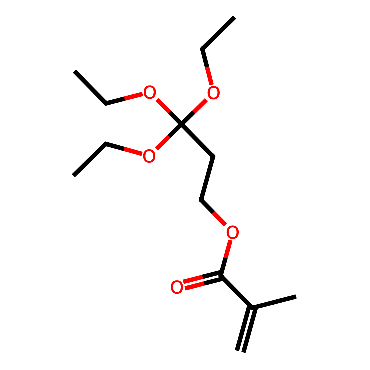 C=C(C)C(=O)OCCC(OCC)(OCC)OCC